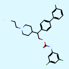 COCCN1CCC(C(COC(=O)Nc2cc(Cl)cc(Cl)c2)c2ccc(-c3cccc(C#N)c3)cc2)CC1